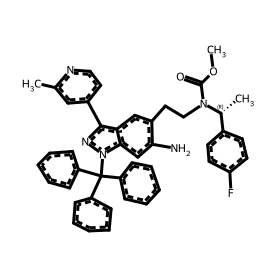 COC(=O)N(CCc1cc2c(-c3ccnc(C)c3)nn(C(c3ccccc3)(c3ccccc3)c3ccccc3)c2cc1N)[C@H](C)c1ccc(F)cc1